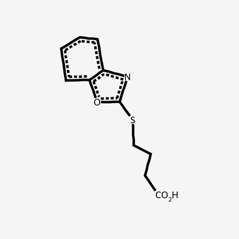 O=C(O)CCCSc1nc2ccccc2o1